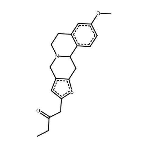 CCC(=O)Cc1cc2c(s1)CC1c3ccc(OC)cc3CCN1C2